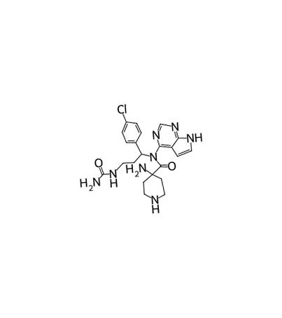 NC(=O)NCCC(c1ccc(Cl)cc1)N(C(=O)C1(N)CCNCC1)c1ncnc2[nH]ccc12